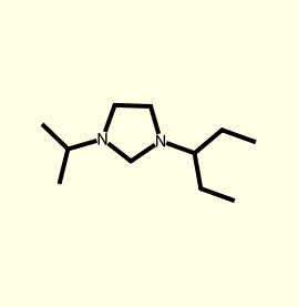 CCC(CC)N1CCN(C(C)C)C1